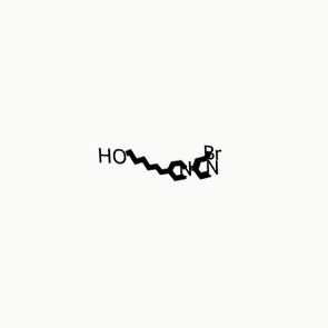 OCCCCCCC1CCN(c2ccnc(Br)c2)CC1